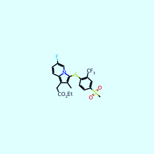 CCOC(=O)Cc1c(C)c(Sc2ccc(S(C)(=O)=O)cc2C(F)(F)F)n2cc(F)ccc12